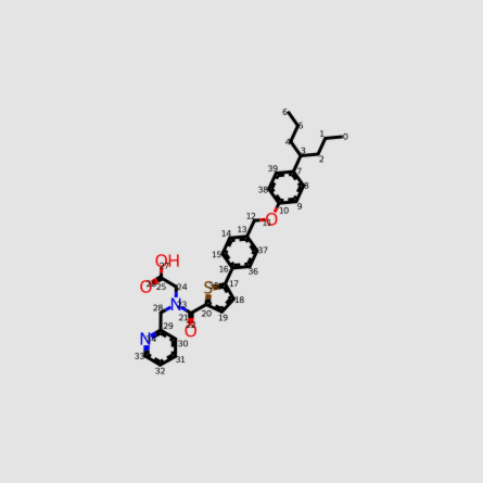 CCCC(CCC)c1ccc(OCc2ccc(-c3ccc(C(=O)N(CC(=O)O)Cc4ccccn4)s3)cc2)cc1